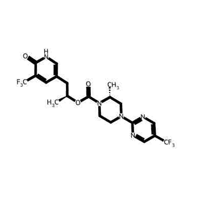 C[C@@H]1CN(c2ncc(C(F)(F)F)cn2)CCN1C(=O)O[C@@H](C)Cc1c[nH]c(=O)c(C(F)(F)F)c1